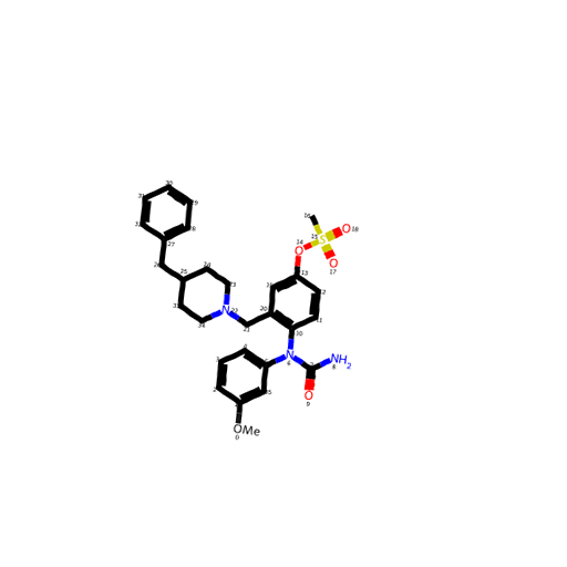 COc1cccc(N(C(N)=O)c2ccc(OS(C)(=O)=O)cc2CN2CCC(Cc3ccccc3)CC2)c1